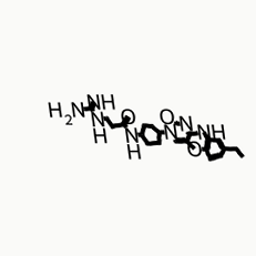 CCc1ccc2c(c1)Nc1nc(=O)n(C3CCC(NC(=O)CCNC(=N)N)CC3)cc1O2